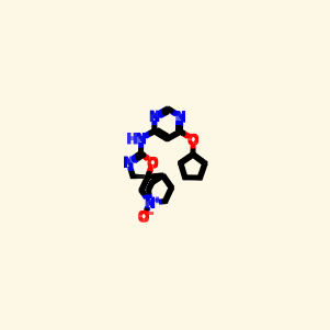 [O-][N+]12CCC(CC1)[C@]1(CN=C(Nc3cc(OC4CCCC4)ncn3)O1)C2